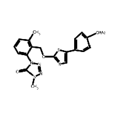 COc1ccc(-c2cnc(OCc3c(C)cccc3-n3nnn(C)c3=O)s2)cc1